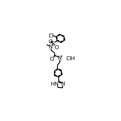 CN(CCc1ccc(C2=NCCN2)cc1)C(=O)CCN(C)S(=O)(=O)c1ccccc1Cl.Cl